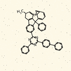 CC1C=CC2=C(C1)c1ccc(-c3nc(-c4ccccc4)nc(-c4ccc(-c5ccccc5)cc4)n3)cc1C2(C1=CC=CC2=C[C@@H]21)c1ccccc1